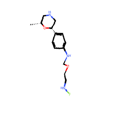 C[C@@H]1CNC[C@H](c2ccc(NCOCCNF)cc2)O1